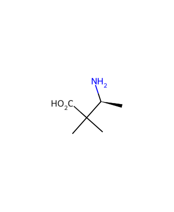 C[C@H](N)C(C)(C)C(=O)O